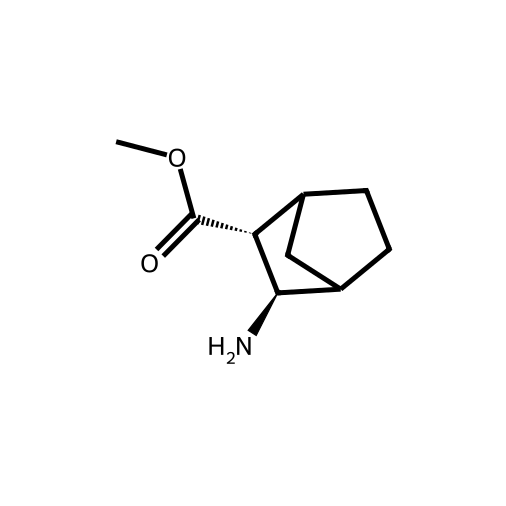 COC(=O)[C@@H]1C2CCC(C2)[C@H]1N